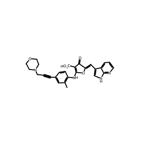 Cc1cc(C#CCN2CCOCC2)ccc1NC1=C(C(=O)O)C(=O)C(=Cc2c[nH]c3ncccc23)O1